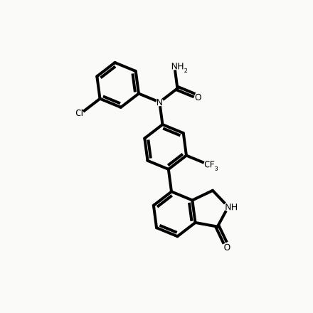 NC(=O)N(c1cccc(Cl)c1)c1ccc(-c2cccc3c2CNC3=O)c(C(F)(F)F)c1